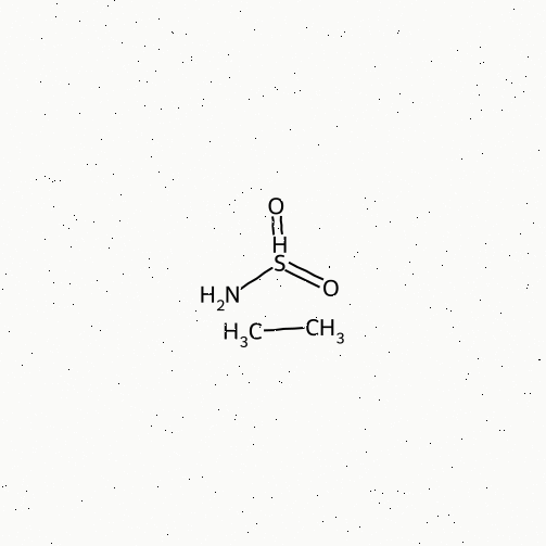 CC.N[SH](=O)=O